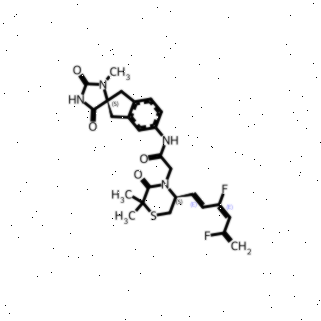 C=C(F)/C=C(F)\C=C\[C@H]1CSC(C)(C)C(=O)N1CC(=O)Nc1ccc2c(c1)C[C@@]1(C2)C(=O)NC(=O)N1C